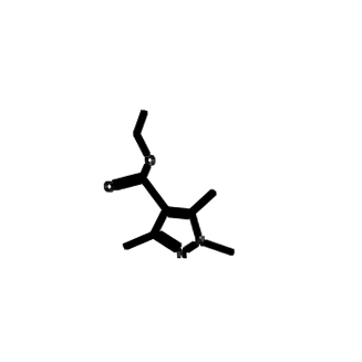 CCOC(=O)c1c(C)nn(C)c1C